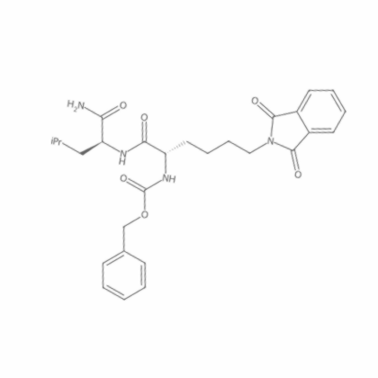 CC(C)C[C@H](NC(=O)[C@H](CCCCN1C(=O)c2ccccc2C1=O)NC(=O)OCc1ccccc1)C(N)=O